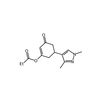 CCC(=O)OC1=CC(=O)CC(c2cn(C)nc2C)C1